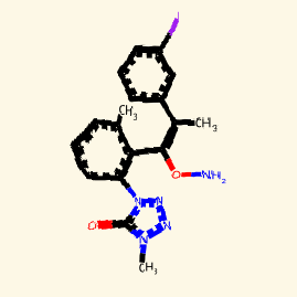 C/C(=C(\ON)c1c(C)cccc1-n1nnn(C)c1=O)c1cccc(I)c1